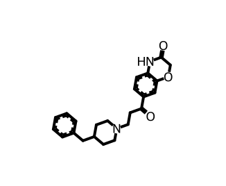 O=C1COc2cc(C(=O)CCN3CCC(Cc4ccccc4)CC3)ccc2N1